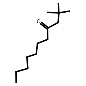 CCCCCCCC(=O)CC(C)(C)C